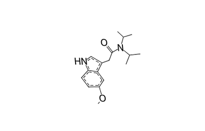 COc1ccc2[nH]cc(CC(=O)N(C(C)C)C(C)C)c2c1